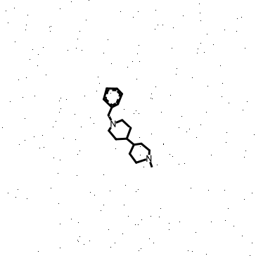 CN1CCC(C2CCN(Cc3ccccc3)CC2)CC1